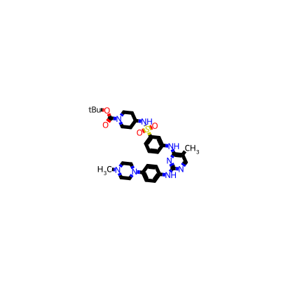 Cc1cnc(Nc2ccc(N3CCN(C)CC3)cc2)nc1Nc1cccc(S(=O)(=O)NC2CCN(C(=O)OC(C)(C)C)CC2)c1